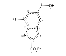 CCOC(=O)c1cn2cc(CO)cc(I)c2n1